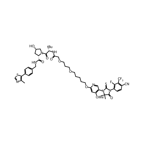 COc1cc(OCCCCCOCCCOCC(=O)N[C@H](C(=O)N2C[C@H](O)C[C@H]2C(=O)NCc2ccc(-c3scnc3C)cc2)C(C)(C)C)ncc1N1C(=S)N(c2ccc(C#N)c(C(F)(F)F)c2F)C(=O)C1(C)C